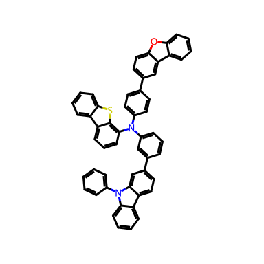 c1ccc(-n2c3ccccc3c3ccc(-c4cccc(N(c5ccc(-c6ccc7oc8ccccc8c7c6)cc5)c5cccc6c5sc5ccccc56)c4)cc32)cc1